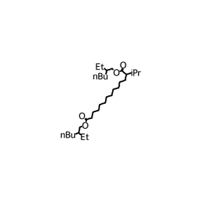 CCCCC(CC)COC(=O)CCCCCCCCCCCC(C(=O)OCC(CC)CCCC)C(C)C